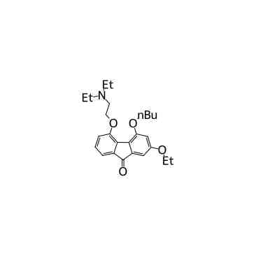 CCCCOc1cc(OCC)cc2c1-c1c(OCCN(CC)CC)cccc1C2=O